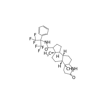 C[C@]12CCC(=O)NC1CC[C@@H]1[C@H]2CC[C@]2(C)C(C(=O)NC(c3ccccc3)(C(F)(F)F)C(F)(F)F)CC[C@@H]12